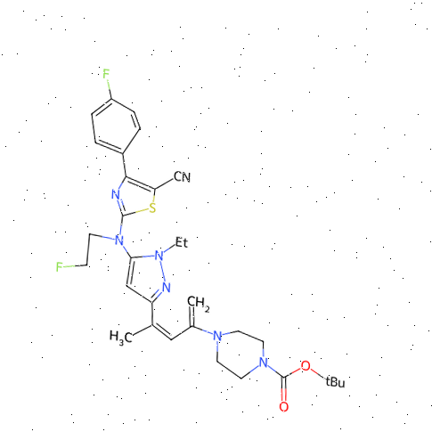 C=C(/C=C(/C)c1cc(N(CCF)c2nc(-c3ccc(F)cc3)c(C#N)s2)n(CC)n1)N1CCN(C(=O)OC(C)(C)C)CC1